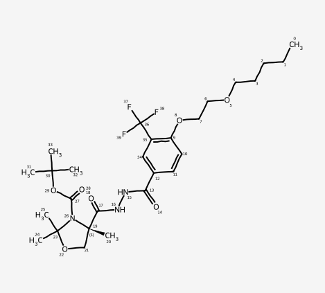 CCCCCOCCOc1ccc(C(=O)NNC(=O)[C@]2(C)COC(C)(C)N2C(=O)OC(C)(C)C)cc1C(F)(F)F